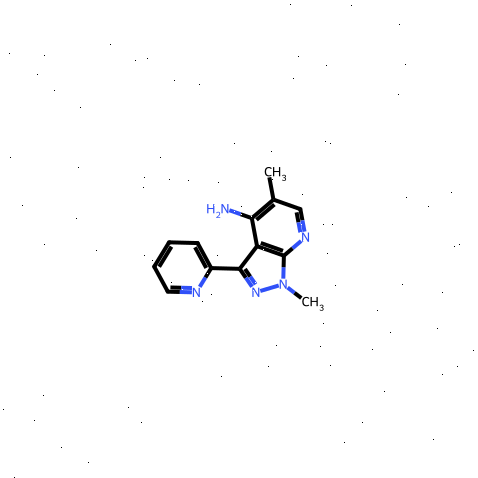 Cc1cnc2c(c(-c3ccccn3)nn2C)c1N